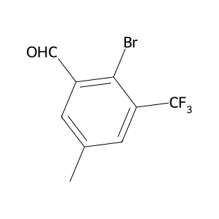 Cc1cc(C=O)c(Br)c(C(F)(F)F)c1